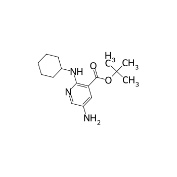 CC(C)(C)OC(=O)c1cc(N)cnc1NC1CCCCC1